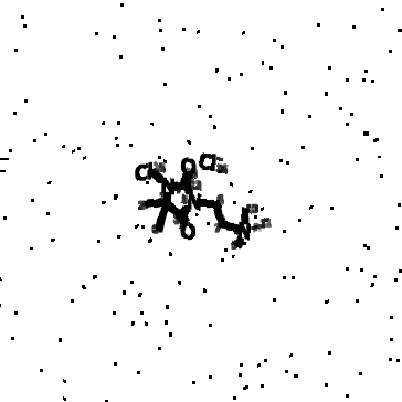 CC1(C)C(=O)N(CC[N+](C)(C)C)C(=O)N1Cl.[Cl-]